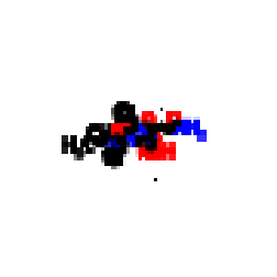 CC(C)CCNC(=O)[C@H](Cc1ccccc1)N1CC2N(C(=O)O)O[C@H](CCC(N)=O)C(=O)N2[C@@H](Cc2ccccc2)C1=O